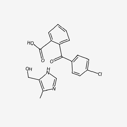 Cc1nc[nH]c1CO.O=C(O)c1ccccc1C(=O)c1ccc(Cl)cc1